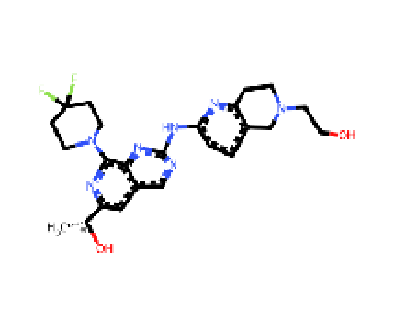 C[C@@H](O)c1cc2cnc(Nc3ccc4c(n3)CCN(CCO)C4)nc2c(N2CCC(F)(F)CC2)n1